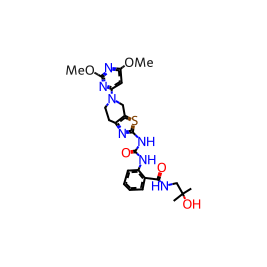 COc1cc(N2CCc3nc(NC(=O)Nc4ccccc4C(=O)NCC(C)(C)O)sc3C2)nc(OC)n1